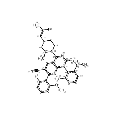 COc1cccc(F)c1-c1nc2c(cc1C#N)c(N1CCN(C=C(C)F)C[C@@H]1C)nc(=O)n2-c1c(C)ccnc1C(C)C